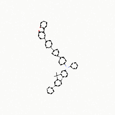 CC1(C)c2cc(-c3ccccc3)ccc2-c2ccc(N(c3ccccc3)c3ccc(-c4ccc(-c5ccc(-c6ccc7oc8ccccc8c7c6)cc5)cc4)cc3)cc21